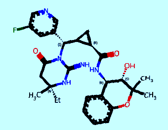 CC[C@]1(C)CC(=O)N([C@H](c2cncc(F)c2)C2C[C@H]2C(=O)N[C@@H]2c3ccccc3OC(C)(C)[C@H]2O)C(=N)N1